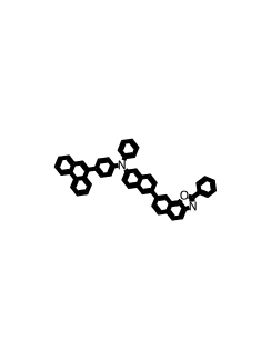 c1ccc(-c2nc3ccc4ccc(-c5ccc6cc(N(c7ccccc7)c7ccc(-c8cc9ccccc9c9ccccc89)cc7)ccc6c5)cc4c3o2)cc1